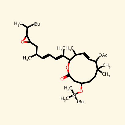 CCC(C)C(C)C1OC1CC(C)/C=C/C=C(\C)C1OC(=O)CC(O[Si](C)(C)C(C)(C)C)CCC(C)(C)C(OC(C)=O)/C=C/C1C